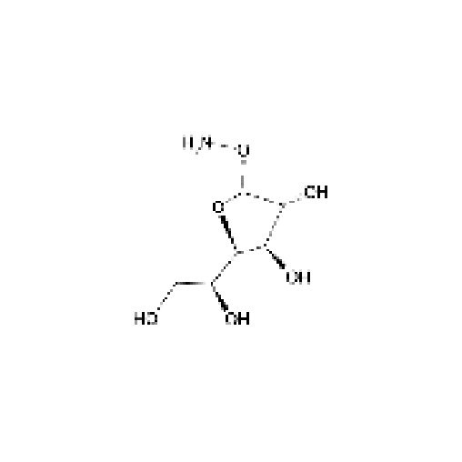 NO[C@H]1O[C@H]([C@@H](O)CO)[C@H](O)[C@H]1O